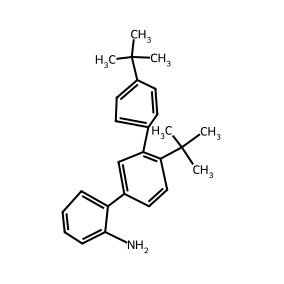 CC(C)(C)c1ccc(-c2cc(-c3ccccc3N)ccc2C(C)(C)C)cc1